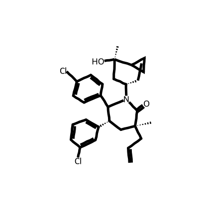 C=CC[C@@]1(C)C[C@H](c2cccc(Cl)c2)C(c2ccc(Cl)cc2)N([C@@H](CC)C[C@@](C)(O)C2CC2)C1=O